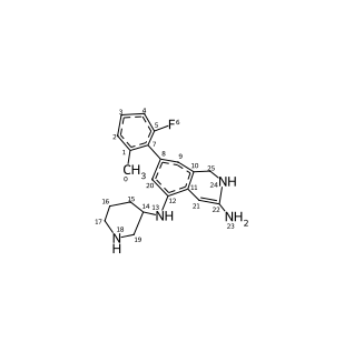 Cc1cccc(F)c1-c1cc2c(c(NC3CCCNC3)c1)C=C(N)NC2